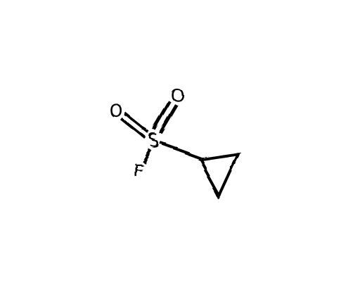 O=S(=O)(F)C1CC1